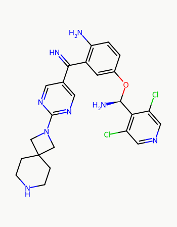 N=C(c1cnc(N2CC3(CCNCC3)C2)nc1)c1cc(O[C@H](N)c2c(Cl)cncc2Cl)ccc1N